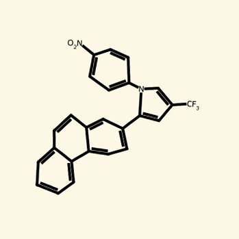 O=[N+]([O-])c1ccc(-n2cc(C(F)(F)F)cc2-c2ccc3c(ccc4ccccc43)c2)cc1